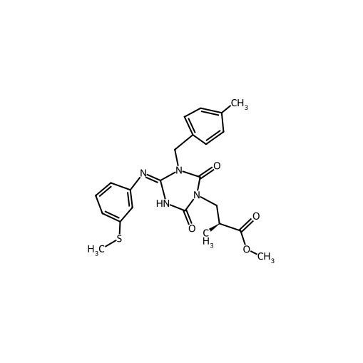 COC(=O)[C@@H](C)Cn1c(=O)[nH]/c(=N\c2cccc(SC)c2)n(Cc2ccc(C)cc2)c1=O